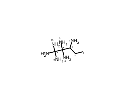 CCC(N)C(N)(N)C(N)(N)N